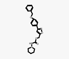 O=C(NN1CCCCC1)OCc1cc(-c2ccc(OCc3ccccc3)cc2)no1